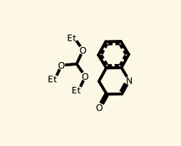 CCOC(OCC)OCC.O=C1C=Nc2ccccc2C1